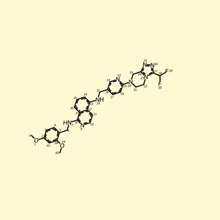 COc1ccc(CNc2nccc3c(NCc4ccc(N5CCn6c(nnc6C(F)F)C5)nc4)cccc23)c(OC)c1